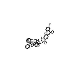 CC(C)(C)[Si](Oc1ccc(CNC(=O)N2CCC3(CC2)CC(=O)c2cc(F)ccc2O3)cc1)(c1ccccc1)c1ccccc1